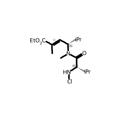 CCOC(=O)/C(C)=C/[C@H](C(C)C)N(C)C(=O)[C@@H](NCl)C(C)C